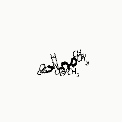 Cc1ccc(-c2ccc(C(=O)NC3C=CS(=O)(=O)C3)[n+]([O-])c2C)cc1C